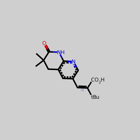 CC1(C)Cc2cc(/C=C(\C(=O)O)C(C)(C)C)cnc2NC1=O